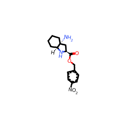 N[C@@]12CCCC[C@@H]1N[C@H](C(=O)OCc1ccc([N+](=O)[O-])cc1)C2